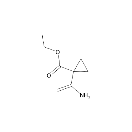 C=C(N)C1(C(=O)OCC)CC1